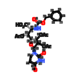 CC(=O)O[C@@H]1[C@@H]([C@H](OC(C)=O)[C@@H](NC(=O)OCc2ccccc2)C(=O)O)O[C@H](n2ccc(=O)[nH]c2=O)[C@@H]1OC(C)=O